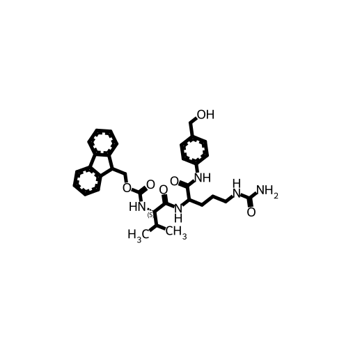 CC(C)[C@H](NC(=O)OCC1c2ccccc2-c2ccccc21)C(=O)NC(CCCNC(N)=O)C(=O)Nc1ccc(CO)cc1